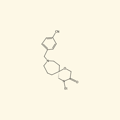 CCN1C[C@@]2(CCCN(Cc3ccc(C#N)cc3)CC2)OCC1=O